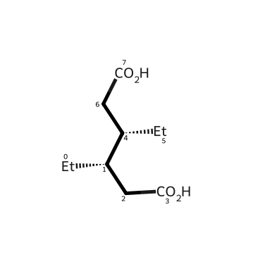 CC[C@@H](CC(=O)O)[C@@H](CC)CC(=O)O